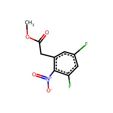 COC(=O)Cc1cc(F)cc(F)c1[N+](=O)[O-]